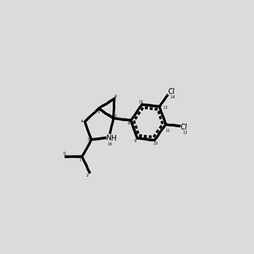 CC(C)C1CC2CC2(c2ccc(Cl)c(Cl)c2)N1